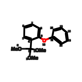 COC(OC)(OC)c1ccccc1Oc1ccccc1